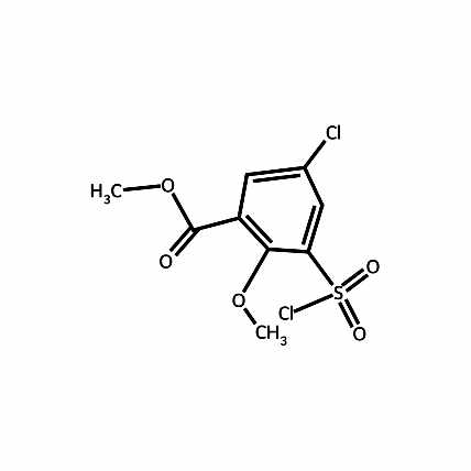 COC(=O)c1cc(Cl)cc(S(=O)(=O)Cl)c1OC